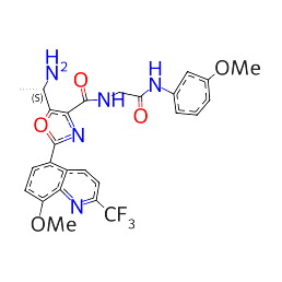 COc1cccc(NC(=O)CNC(=O)c2nc(-c3ccc(OC)c4nc(C(F)(F)F)ccc34)oc2[C@H](C)N)c1